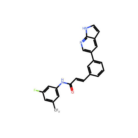 O=C(C=Cc1cccc(-c2cnc3[nH]ccc3c2)c1)Nc1cc(F)cc(C(F)(F)F)c1